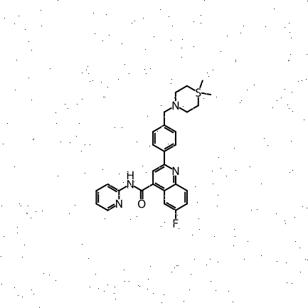 CS1(C)CCN(Cc2ccc(-c3cc(C(=O)Nc4ccccn4)c4cc(F)ccc4n3)cc2)CC1